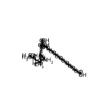 CCCN(CCCNC(=O)CC(C)(C)C)C(=O)C1=Cc2sc(CCCCCNC(=O)[C@H](CS(=O)(=O)O)NC(=O)CCOCCOCCOCCOCCOCCOCCOCCOCCOCCOCCC(=O)O)cc2N=C(N)C1